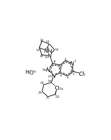 Cl.Clc1cc2c(cn1)c(N1CC3CC(C1)N3)nn2C1CCCCO1